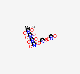 O=C1CCC(=O)[N-]1.O=C1CCC(=O)[N-]1.O=C1CCC(=O)[N-]1.O=C1CCC(=O)[N-]1.O=C1CCC(=O)[N-]1.O=C1CCC(=O)[N-]1.[Mo+6]